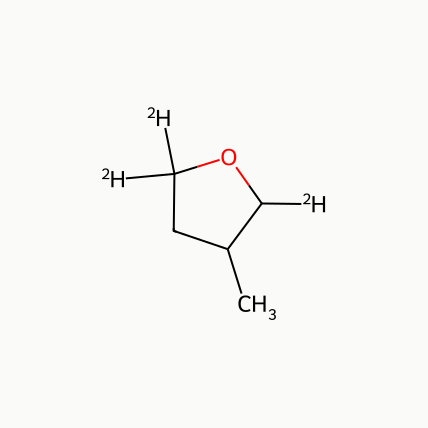 [2H]C1OC([2H])([2H])CC1C